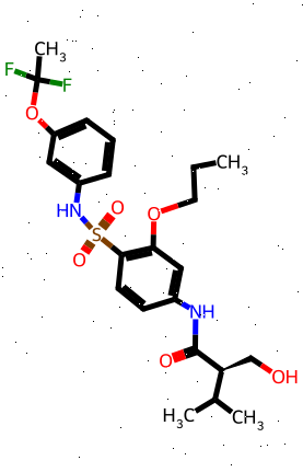 CCCOc1cc(NC(=O)[C@@H](CO)C(C)C)ccc1S(=O)(=O)Nc1cccc(OC(C)(F)F)c1